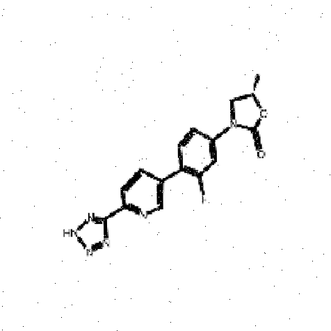 C[C@@H]1CN(c2ccc(-c3ccc(-c4nn[nH]n4)nc3)c(F)c2)C(=O)O1